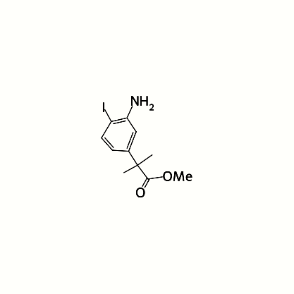 COC(=O)C(C)(C)c1ccc(I)c(N)c1